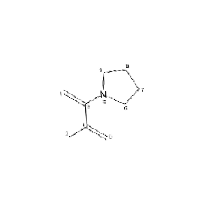 C=C(C)C(=C)N1CCCC1